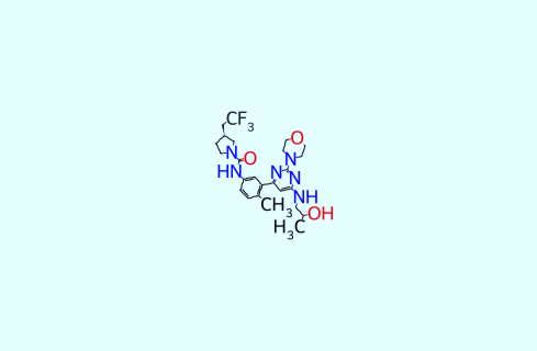 Cc1ccc(NC(=O)N2CC[C@@H](CC(F)(F)F)C2)cc1-c1cc(NCC(C)O)nc(N2CCOCC2)n1